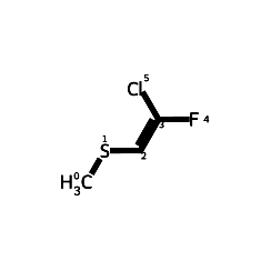 CSC=C(F)Cl